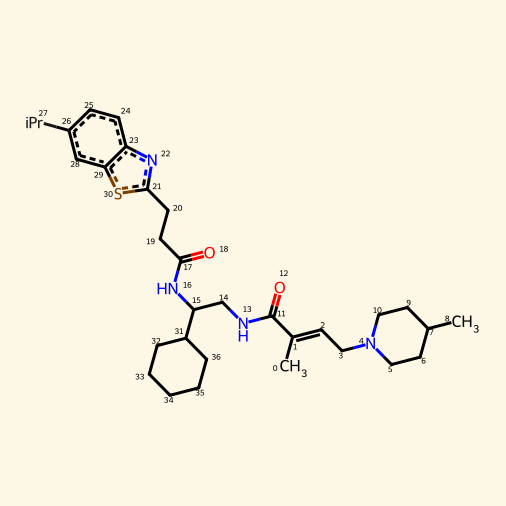 C/C(=C\CN1CCC(C)CC1)C(=O)NCC(NC(=O)CCc1nc2ccc(C(C)C)cc2s1)C1CCCCC1